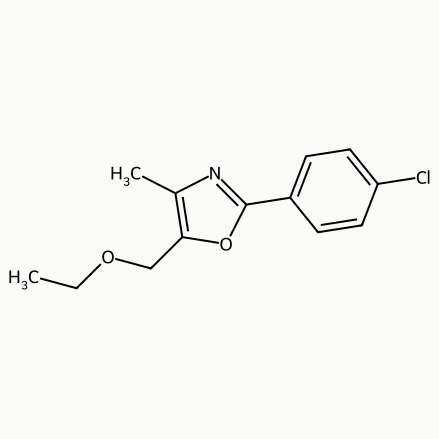 CCOCc1oc(-c2ccc(Cl)cc2)nc1C